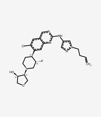 C=CCCn1cc(Nc2ncc3cc(Cl)c([C@@H]4CCN([C@H]5COC[C@H]5O)C[C@H]4F)cc3n2)cn1